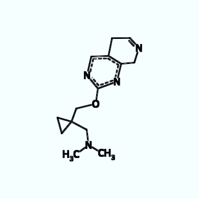 CN(C)CC1(COc2ncc3c(n2)CN=CC3)CC1